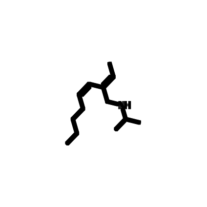 C/C=C(\C=C/CCCC)CNC(C)C